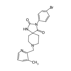 Cc1cccnc1CN1CCC2(CC1)NC(=O)N(c1ccc(Br)cc1)C2=O